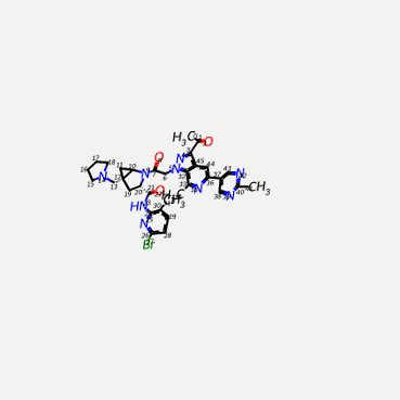 CC(=O)c1nn(CC(=O)N2C3C[C@]3(CN3CCCC3)C[C@H]2C(=O)Nc2nc(Br)ccc2C)c2c(C)nc(-c3cnc(C)nc3)cc12